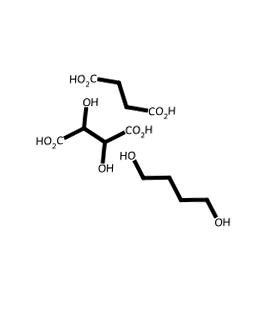 O=C(O)C(O)C(O)C(=O)O.O=C(O)CCC(=O)O.OCCCCO